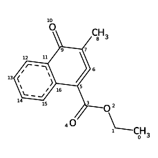 CCOC(=O)C1=C=C(C)C(=O)c2ccccc21